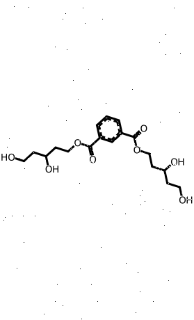 O=C(OCCC(O)CCO)c1cccc(C(=O)OCCC(O)CCO)c1